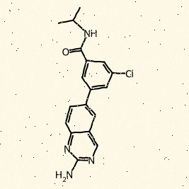 CC(C)NC(=O)c1cc(Cl)cc(-c2ccc3nc(N)ncc3c2)c1